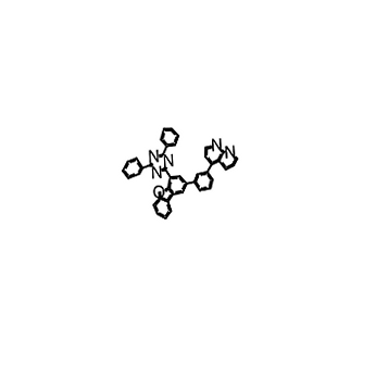 c1ccc(-c2nc(-c3ccccc3)nc(-c3cc(-c4cccc(-c5ccnc6ncccc56)c4)cc4c3oc3ccccc34)n2)cc1